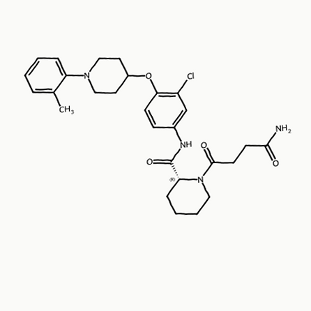 Cc1ccccc1N1CCC(Oc2ccc(NC(=O)[C@H]3CCCCN3C(=O)CCC(N)=O)cc2Cl)CC1